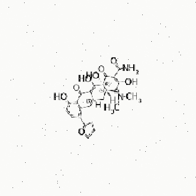 CN(C)[C@H]1C(O)=C(C(N)=O)C(=O)[C@]2(O)C(O)=C3C(=O)c4c(O)ccc(-c5ccco5)c4C[C@@H]3C[C@@H]12